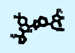 COCC(c1ccc2oc(C(NC(=O)c3ccnn3C)C3CCC(F)(F)CC3)nc2c1)N1CC(C(F)(F)F)NC1=O